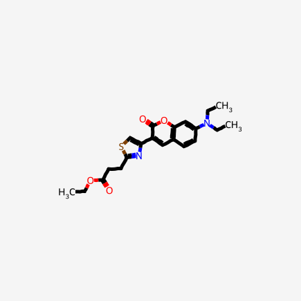 CCOC(=O)CCc1nc(-c2cc3ccc(N(CC)CC)cc3oc2=O)cs1